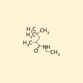 CCNC(=O)C(C)CC(C)(C)C